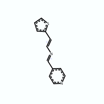 C(=C\c1cccs1)/N=C/c1ccncc1